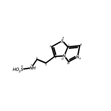 O=S(=O)(O)NCCc1csc2cncn12